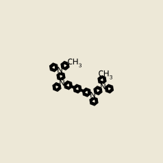 Cc1ccc(N(c2ccccc2)c2ccc(N(c3ccccc3)c3ccc(-c4ccc(-c5ccc(N(c6ccccc6)c6ccc(N(c7ccccc7)c7ccc(C)cc7)cc6)cc5)cc4)cc3)cc2)cc1